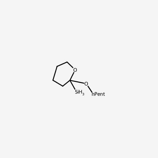 CCCCCOC1([SiH3])CCCCO1